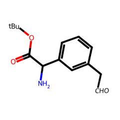 CC(C)(C)OC(=O)C(N)c1cccc(CC=O)c1